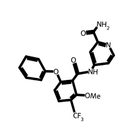 COc1c(C(F)(F)F)ccc(Oc2ccccc2)c1C(=O)Nc1ccnc(C(N)=O)c1